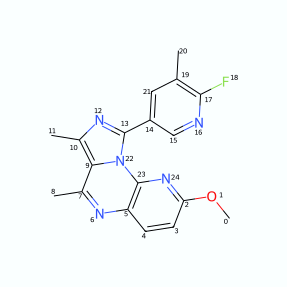 COc1ccc2nc(C)c3c(C)nc(-c4cnc(F)c(C)c4)n3c2n1